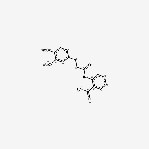 COc1ccc(CCC(=O)Nc2ccccc2C(N)=O)cc1OC